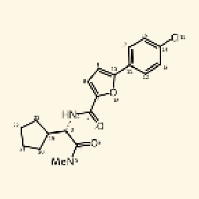 CNC(=O)[C@@H](NC(=O)c1ccc(-c2ccc(Cl)cc2)o1)C1CCCC1